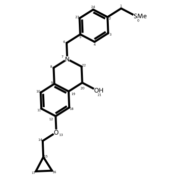 CSCc1ccc(CN2Cc3ccc(OCC4CC4)cc3C(O)C2)cc1